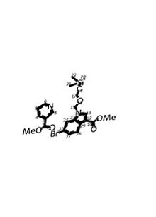 COC(=O)c1cccnc1.COC(=O)c1cn(COCC[Si](C)(C)C)c2cc(Br)ccc12